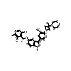 Cc1ncc(Cl)c([C@@H](C)Oc2ccc3[nH]nc(-c4cnc(N5CC(C)(N6CCOCC6)C5)c(C#N)c4)c3c2)c1Cl